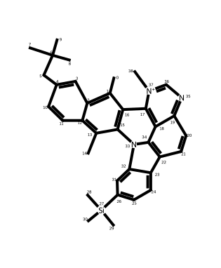 Cc1c2cc(CC(C)(C)C)ccc2c(C)c2c1c1c3c(ccc4c5ccc([Si](C)(C)C)cc5n2c43)nc[n+]1C